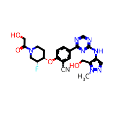 Cn1ncc(Nc2ncnc(-c3ccc(O[C@H]4CCN(C(=O)CO)C[C@H]4F)c(C#N)c3)n2)c1CO